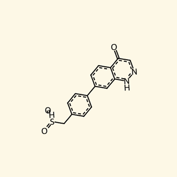 O=c1cn[nH]c2cc(-c3ccc(C[SH](=O)=O)cc3)ccc12